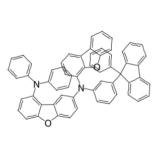 c1ccc(N(c2ccccc2)c2cccc3oc4ccc(N(c5cccc(C6(c7ccccc7)c7ccccc7-c7ccccc76)c5)c5cccc6c5oc5ccccc56)cc4c23)cc1